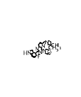 CC1(C)CCN(Cc2ccc3nc(-c4c(F)ccc5[nH]ccc45)nc(N4CCOCC4)c3n2)C1